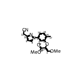 CO/C=C(\Oc1cc(-n2ccc(CC#N)n2)ccc1C)C(=O)OC